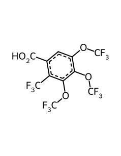 O=C(O)c1cc(OC(F)(F)F)c(OC(F)(F)F)c(OC(F)(F)F)c1C(F)(F)F